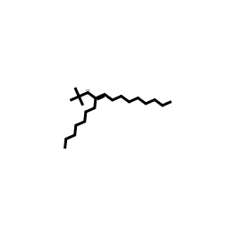 CCCCCCCCC=C([C]C(C)(C)C)CCCCCCC